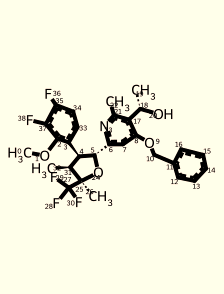 COc1c([C@H]2[C@H](c3cc(OCc4ccccc4)c([C@H](C)O)c(C)n3)O[C@@](C)(C(F)(F)F)[C@H]2C)ccc(F)c1F